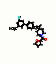 O=C(O)c1cc(F)cc(-c2ccc([C@H]3CC34CCN(C(=O)C3CCCO3)CC4)cc2)c1